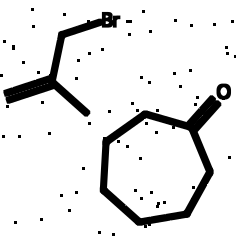 C=C(C)CBr.O=C1CCCCCC1